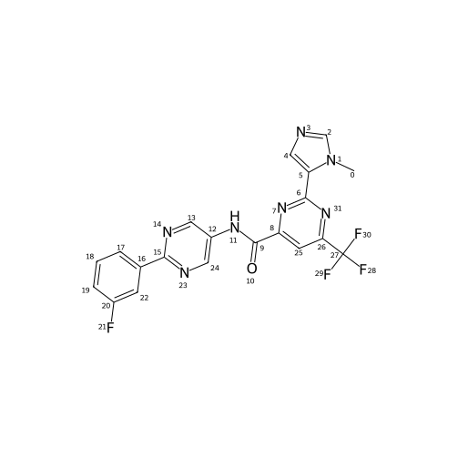 Cn1cncc1-c1nc(C(=O)Nc2cnc(-c3cccc(F)c3)nc2)cc(C(F)(F)F)n1